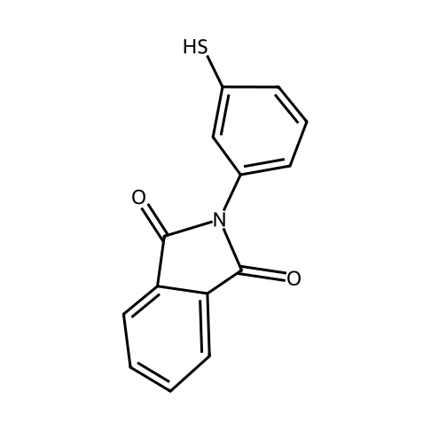 O=C1c2ccccc2C(=O)N1c1cccc(S)c1